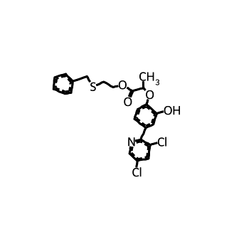 CC(Oc1ccc(-c2ncc(Cl)cc2Cl)cc1O)C(=O)OCCSCc1ccccc1